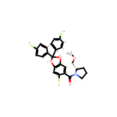 COC[C@@H]1CCCN1C(=O)c1cc2c(cc1F)OC(c1ccc(F)cc1)(c1ccc(F)cc1)O2